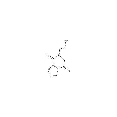 NCCN1CC(=O)N2CCC=C2C1=O